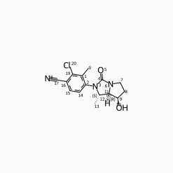 Cc1c(N2C(=O)N3CC[C@@H](O)[C@H]3[C@@H]2C)ccc(C#N)c1Cl